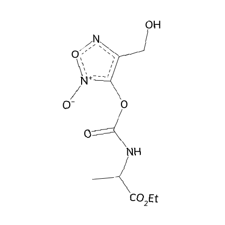 CCOC(=O)C(C)NC(=O)Oc1c(CO)no[n+]1[O-]